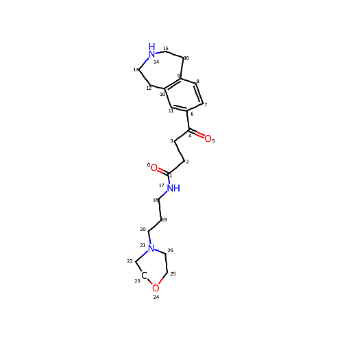 O=C(CCC(=O)c1ccc2c(c1)CCNCC2)NCCCN1CCOCC1